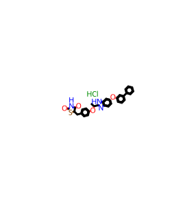 CC(Oc1ccc(CC2SC(=O)NC2=O)cc1)c1nc2ccc(Oc3cccc(-c4ccccc4)c3)cc2[nH]1.Cl